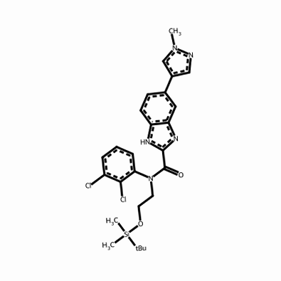 Cn1cc(-c2ccc3[nH]c(C(=O)N(CCO[Si](C)(C)C(C)(C)C)c4cccc(Cl)c4Cl)nc3c2)cn1